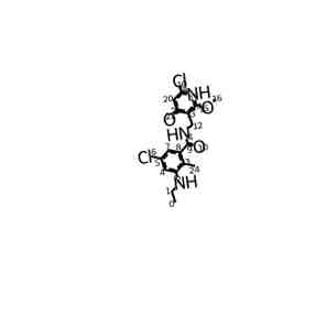 CCNc1cc(Cl)cc(C(=O)NCc2c(OC)[nH]c(Cl)cc2=O)c1C